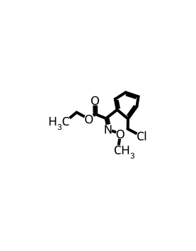 CCOC(=O)/C(=N/OC)c1ccccc1CCl